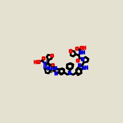 O=C(O)NC(C(=O)N1CCCC1c1nc2cc(CN(Cc3ccc4[nH]c([C@@H]5CCCN5C(=O)[C@@H](NC(=O)O)[C@H]5CCOC5)nc4c3)c3ccccc3)ccc2[nH]1)C1CCOC1